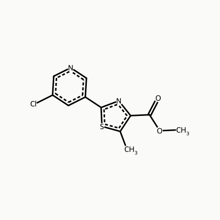 COC(=O)c1nc(-c2cncc(Cl)c2)sc1C